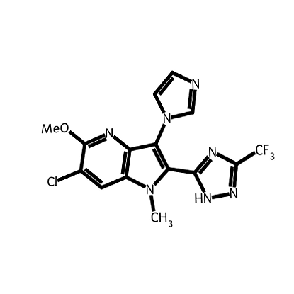 COc1nc2c(-n3ccnc3)c(-c3nc(C(F)(F)F)n[nH]3)n(C)c2cc1Cl